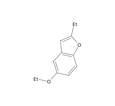 CCOc1[c]c2cc(CC)oc2cc1